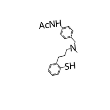 CC(=O)Nc1ccc(CN(C)CCCc2ccccc2S)cc1